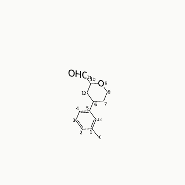 Cc1cccc(C2CCOC(C=O)C2)c1